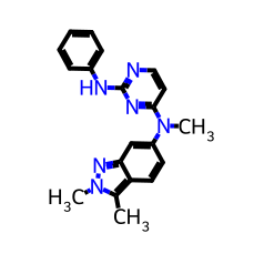 Cc1c2ccc(N(C)c3ccnc(Nc4ccccc4)n3)cc2nn1C